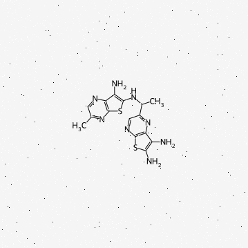 Cc1cnc2c(N)c(NC(C)c3cnc4sc(N)c(N)c4n3)sc2n1